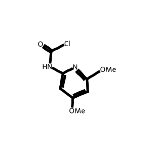 COc1cc(NC(=O)Cl)nc(OC)c1